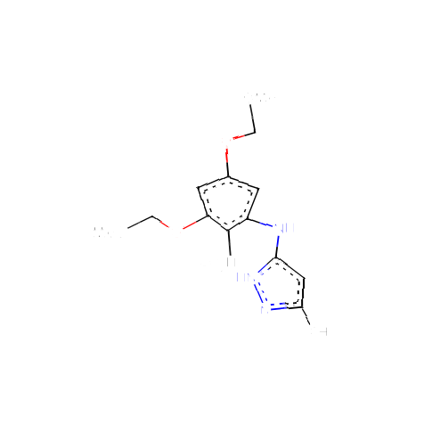 COCOc1cc(Nc2cc(C)n[nH]2)c(C(=O)O)c(OCOC)c1